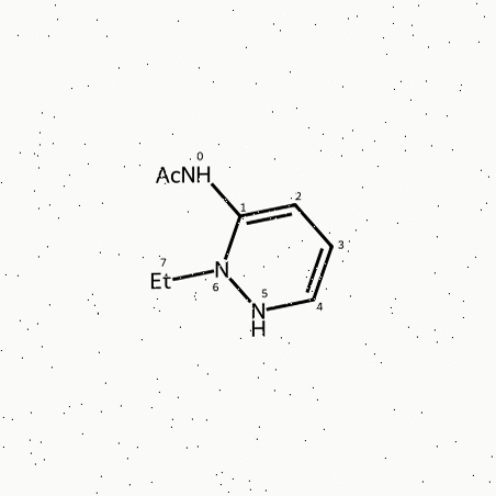 [CH2]C(=O)NC1=CC=CNN1CC